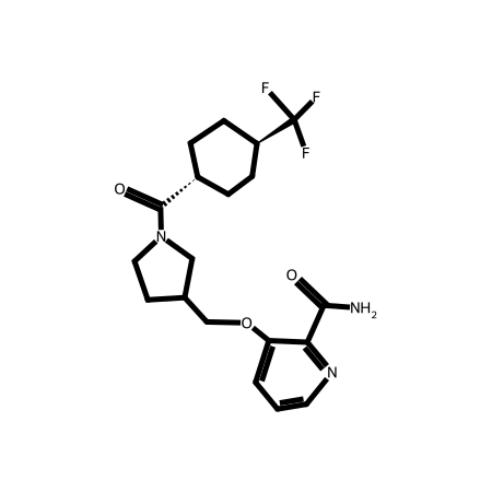 NC(=O)c1ncccc1OCC1CCN(C(=O)[C@H]2CC[C@H](C(F)(F)F)CC2)C1